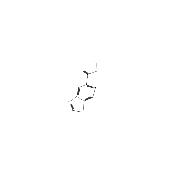 CCOC(=O)CC(=O)c1ccc2scnc2c1